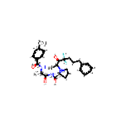 CC(C)C(C(=O)C(F)(F)CCCc1ccccc1)N1CCC[C@H]1C(=O)NC(=O)[C@@H](NC(=O)c1ccc(C(=O)O)cc1)C(C)C